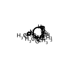 CC[C@@H]1[C@@H]2CN(C(=O)[C@H](C(C)(C)C)NC(=O)O[C@@H]3C4CC(C4)C[C@H]3CCCCCc3nc4ccc(OC)cc4nc3O2)[C@@H]1C(C)=O